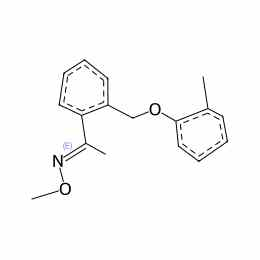 CO/N=C(\C)c1ccccc1COc1ccccc1C